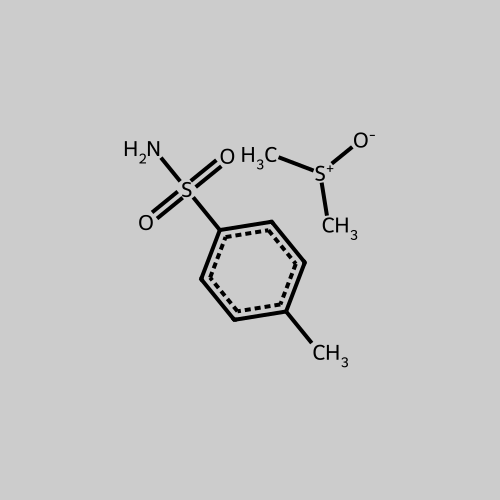 C[S+](C)[O-].Cc1ccc(S(N)(=O)=O)cc1